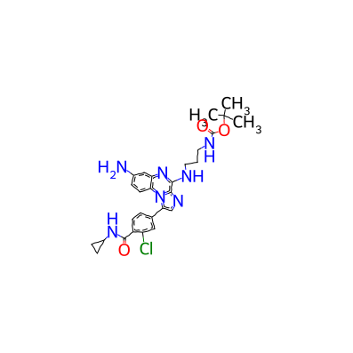 CC(C)(C)OC(=O)NCCCNc1nc2cc(N)ccc2n2c(-c3ccc(C(=O)NC4CC4)c(Cl)c3)cnc12